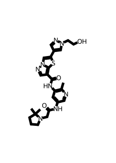 Cc1ncc(NC(=O)CN2CCCC2(C)C)cc1NC(=O)c1cnn2cc(-c3cnn(CCO)c3)sc12